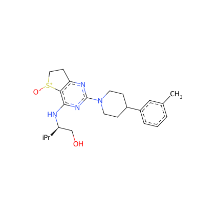 Cc1cccc(C2CCN(c3nc4c(c(N[C@@H](CO)C(C)C)n3)[S+]([O-])CC4)CC2)c1